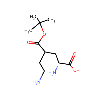 CC(C)(C)OC(=O)C(CCN)C[C@@H](N)C(=O)O